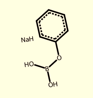 OB(O)Oc1ccccc1.[NaH]